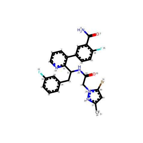 NC(=O)c1cc(-c2cccnc2C(Cc2cccc(F)c2)NC(=O)Cn2nc(C(F)(F)F)cc2Br)ccc1F